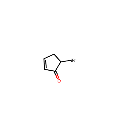 CC(C)C1CC=CC1=O